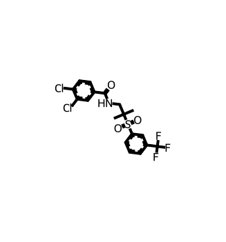 CC(C)(CNC(=O)c1ccc(Cl)c(Cl)c1)S(=O)(=O)c1cccc(C(F)(F)F)c1